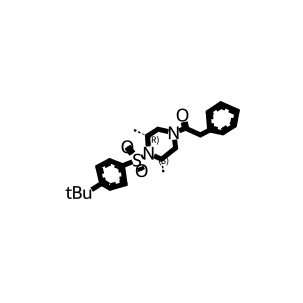 C[C@@H]1CN(C(=O)Cc2ccccc2)C[C@H](C)N1S(=O)(=O)c1ccc(C(C)(C)C)cc1